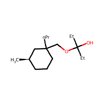 CCCC1(COC(O)(CC)CC)CCC[C@@H](C)C1